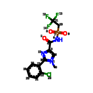 Cn1cc(C(=O)NS(=O)(=O)CC(F)(F)F)nc1-c1ccccc1Cl